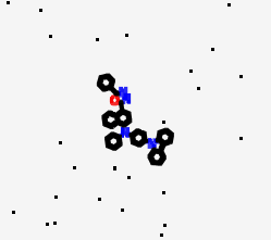 c1ccc(-c2nnc(-c3ccc(N(c4ccccc4)c4ccc(-n5c6ccccc6c6ccccc65)cc4)c4ccccc34)o2)cc1